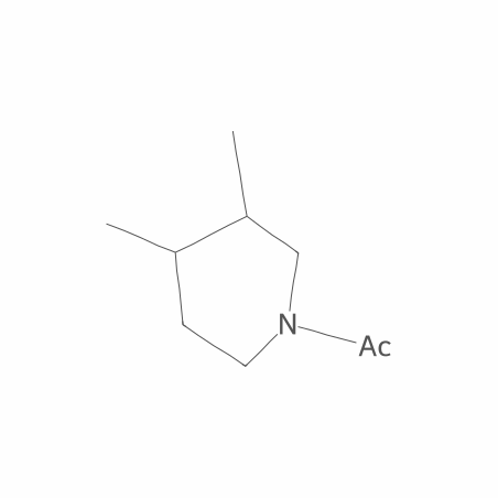 CC(=O)N1CCC(C)C(C)C1